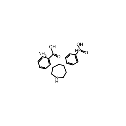 C1CCCNCC1.N.O=[PH](O)c1ccccc1.O=[PH](O)c1ccccc1